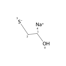 OCC[S-].[Na+]